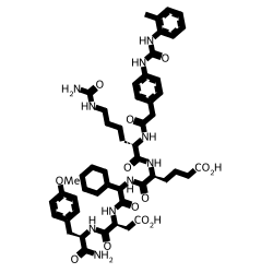 COc1ccc(C[C@@H](NC(=O)[C@H](CC(=O)O)NC(=O)C(NC(=O)[C@H](CCCC(=O)O)NC(=O)[C@H](CCCCNC(N)=O)NC(=O)Cc2ccc(NC(=O)Nc3ccccc3C)cc2)C2CCCCC2)C(N)=O)cc1